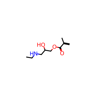 C=C(C)C(=O)OCC(O)CNCC